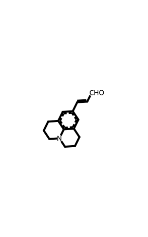 O=C/C=C/c1cc2c3c(c1)CCCN3CCC2